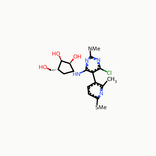 CNc1nc(Cl)c(-c2ccc(SC)nc2C)c(N[C@@H]2C[C@H](CO)[C@@H](O)[C@H]2O)n1